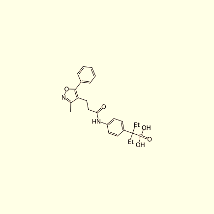 CCC(CC)(c1ccc(NC(=O)CCc2c(C)noc2-c2ccccc2)cc1)P(=O)(O)O